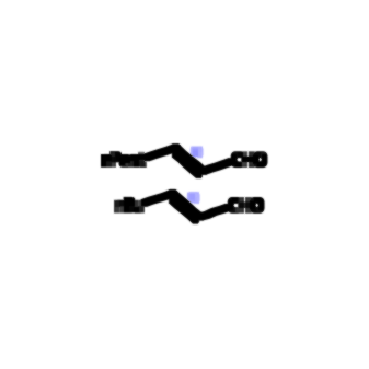 CCCC/C=C/C=O.CCCCC/C=C/C=O